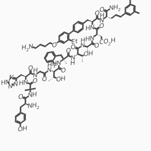 CCc1cc(OCCCCN)ccc1-c1ccc(C[C@H](NC(=O)[C@H](CC(=O)O)NC(=O)[C@H](C)NC(=O)[C@@H](NC(=O)[C@](C)(Cc2ccccc2F)NC(=O)[C@@H](NC(=O)CNC(=O)[C@H](Cc2nn[nH]n2)NC(=O)C(C)(C)NC(=O)[C@@H](N)Cc2ccc(O)cc2)[C@@H](C)O)[C@@H](C)O)C(=O)N[C@@H](CCCc2cc(C)cc(C)c2)C(N)=O)cc1